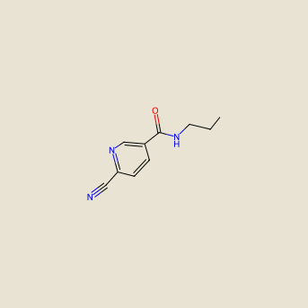 CCCNC(=O)c1ccc(C#N)nc1